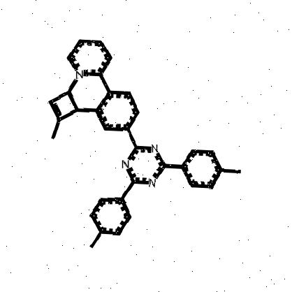 CC1=CC2C1c1cc(-c3nc(-c4ccc(C)cc4)nc(-c4ccc(C)cc4)n3)ccc1-c1cccc[n+]12